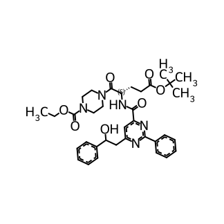 CCOC(=O)N1CCN(C(=O)[C@H](CCC(=O)OC(C)(C)C)NC(=O)c2cc(CC(O)c3ccccc3)nc(-c3ccccc3)n2)CC1